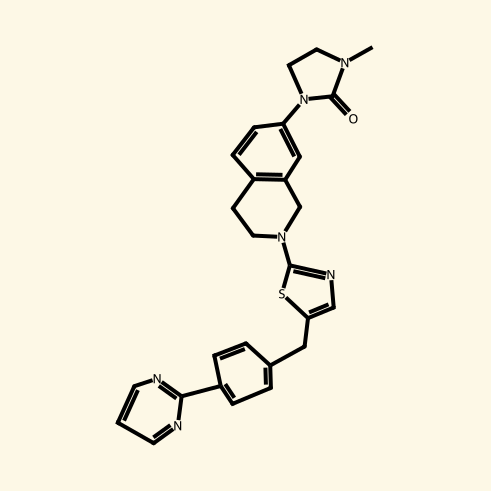 CN1CCN(c2ccc3c(c2)CN(c2ncc(Cc4ccc(-c5ncccn5)cc4)s2)CC3)C1=O